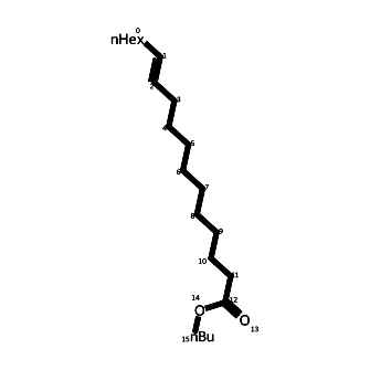 CCCCCCC=CCCCCCCCCCC(=O)OCCCC